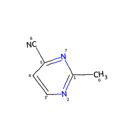 Cc1n[c]cc(C#N)n1